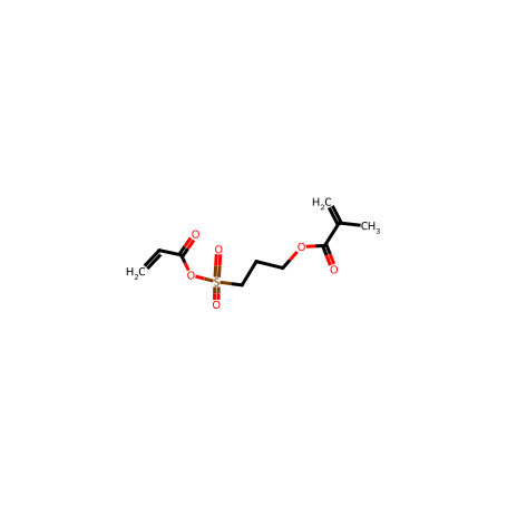 C=CC(=O)OS(=O)(=O)CCCOC(=O)C(=C)C